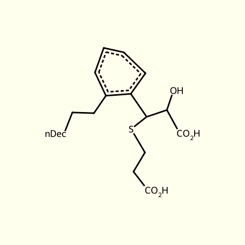 CCCCCCCCCCCCc1ccccc1C(SCCC(=O)O)C(O)C(=O)O